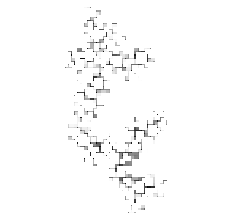 CC(C)(C)c1ccc2c(c1)C(C)(C)c1cc(N(c3ccc4c(c3)C(C)(C)c3ccc(CC(C)(C)c5ccc6c(c5)C(C)(C)c5cc(N(c7ccc8c(c7)C(C)(C)c7ccccc7-8)c7cc(C(C)(C)C)cc8c7oc7c(C(C)(C)C)cc(C(C)(C)C)cc78)ccc5-6)cc3-4)c3ccc4oc5c(C(C)(C)C)cc(C(C)(C)C)cc5c4c3)ccc1-2